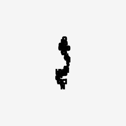 CN1C(=O)CCC(N2C(=O)c3ccc(N4CCN(CCCc5ccc(C(=O)NC6C(C)(C)C(Oc7ccc(C#N)c(Cl)c7)C6(C)C)nc5)CC4)cc3C2=O)C1=O